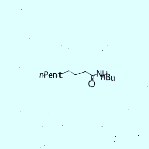 CCCCCCCCC(=O)NCCCC